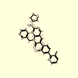 Cc1cccnc1-c1ccc(-c2cc3cnc(N[C@@H]4CCOC4)nc3n(Cc3cccnc3)c2=O)c(Cl)c1